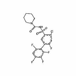 O=C(NS(=O)(=O)c1cc(-c2c(F)cc(F)c(F)c2F)c(F)cc1Cl)N1CCCCC1